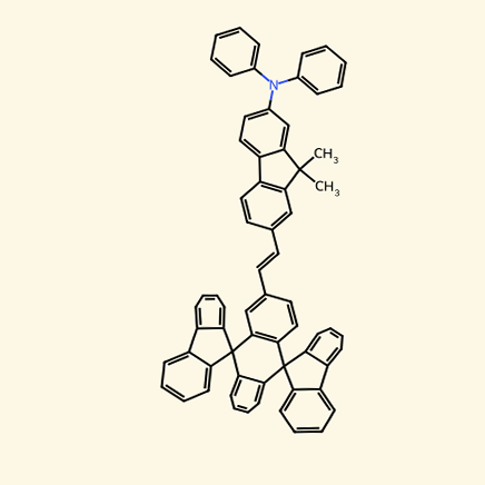 CC1(C)c2cc(/C=C/c3ccc4c(c3)C3(c5ccccc5-c5ccccc53)c3ccccc3C43c4ccccc4-c4ccccc43)ccc2-c2ccc(N(c3ccccc3)c3ccccc3)cc21